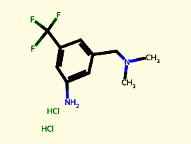 CN(C)Cc1cc(N)cc(C(F)(F)F)c1.Cl.Cl